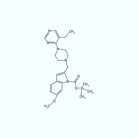 CCc1cncnc1N1CCN(Cc2cc3ccc(OC)cc3n2C(=O)OC(C)(C)C)CC1